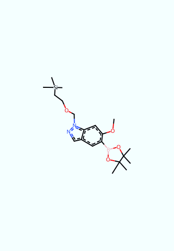 COc1cc2c(cnn2COCC[Si](C)(C)C)cc1B1OC(C)(C)C(C)(C)O1